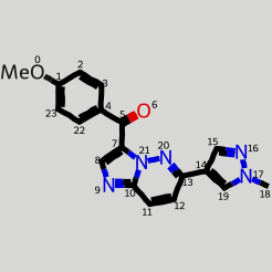 COc1ccc(C(=O)c2cnc3ccc(-c4cnn(C)c4)nn23)cc1